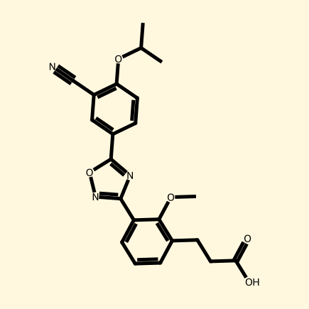 COc1c(CCC(=O)O)cccc1-c1noc(-c2ccc(OC(C)C)c(C#N)c2)n1